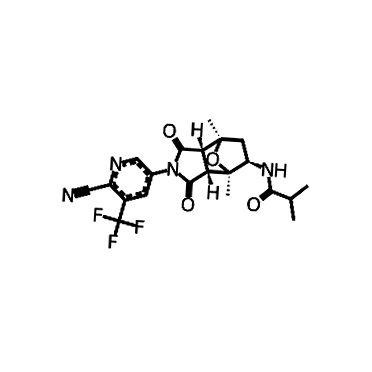 CC(C)C(=O)N[C@@H]1C[C@@]2(C)O[C@]1(C)[C@@H]1C(=O)N(c3cnc(C#N)c(C(F)(F)F)c3)C(=O)[C@@H]12